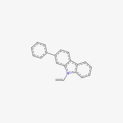 C=Cn1c2ccccc2c2ccc(-c3ccccc3)cc21